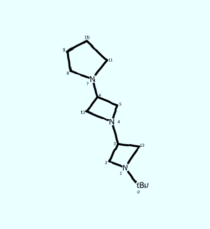 CC(C)(C)N1CC(N2CC(N3CCCC3)C2)C1